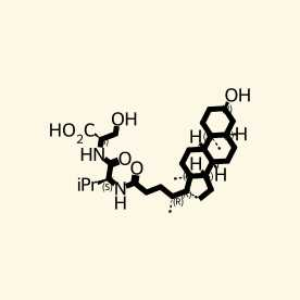 CC(C)[C@H](NC(=O)CC[C@@H](C)[C@H]1CC[C@H]2[C@@H]3CC[C@@H]4C[C@H](O)CC[C@]4(C)[C@H]3CC[C@]12C)C(=O)N[C@@H](CO)C(=O)O